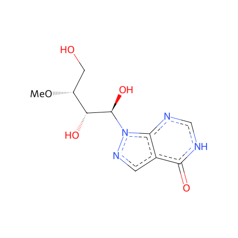 CO[C@H](CO)[C@@H](O)[C@@H](O)n1ncc2c(=O)[nH]cnc21